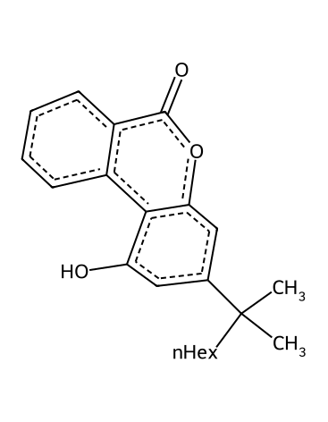 CCCCCCC(C)(C)c1cc(O)c2c(c1)oc(=O)c1ccccc12